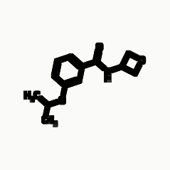 CC(C)Oc1cccc(C(=O)NC2COC2)c1